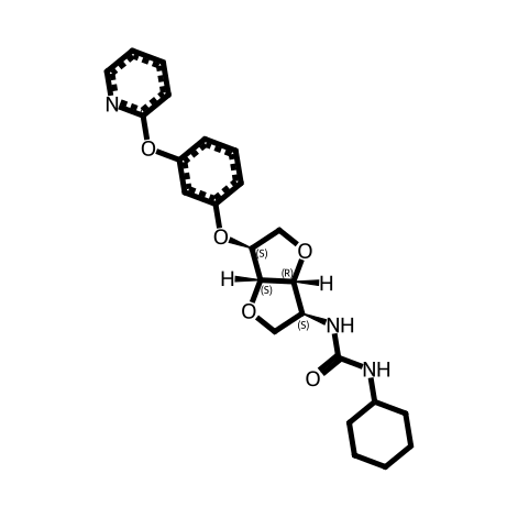 O=C(NC1CCCCC1)N[C@H]1CO[C@H]2[C@@H]1OC[C@@H]2Oc1cccc(Oc2ccccn2)c1